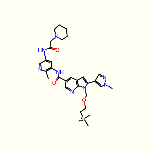 Cc1ncc(NC(=O)CN2CCCCC2)cc1NC(=O)c1cnc2c(c1)cc(-c1cnn(C)c1)n2COCC[Si](C)(C)C